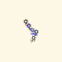 CC(C)(C)c1ccc(-c2nc3cccc(N4CCN(Cc5ccnc(Oc6ccccc6)n5)CC4)c3[nH]2)cc1